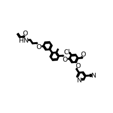 C=CC(=O)NCCCOc1cccc(-c2cccc(COc3cc(OCc4cncc(C#N)c4)c(C=O)cc3Cl)c2C)c1